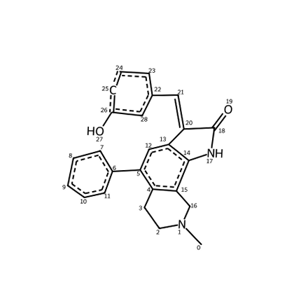 CN1CCc2c(-c3ccccc3)cc3c(c2C1)NC(=O)/C3=C/c1cccc(O)c1